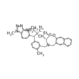 CC[C@@H]1CN(Cc2cc(C(c3ccc4c(nnn4C)c3C)C(C)(C)C(=O)O)ccc2C)Cc2cc3ccccc3cc2O1